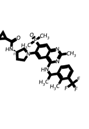 Cc1nc(NC(C)c2cccc(C(F)(F)F)c2C)c2cc(N3CC[C@H](NC(=O)C4CC4)C3)c(P(C)(C)=O)cc2n1